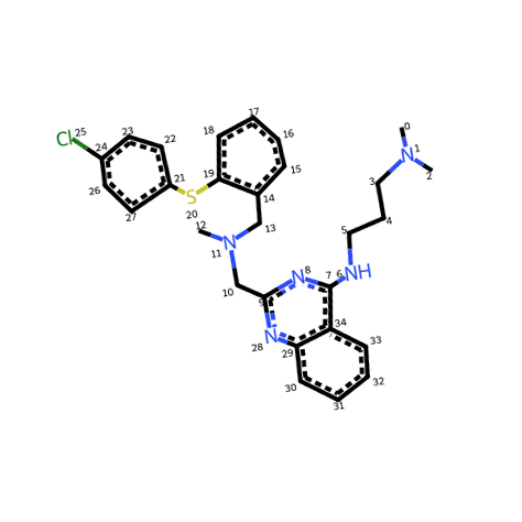 CN(C)CCCNc1nc(CN(C)Cc2ccccc2Sc2ccc(Cl)cc2)nc2ccccc12